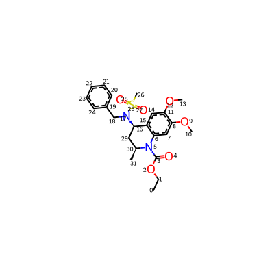 CCOC(=O)N1c2cc(OC)c(OC)cc2[C@H](N(Cc2ccccc2)S(C)(=O)=O)C[C@@H]1C